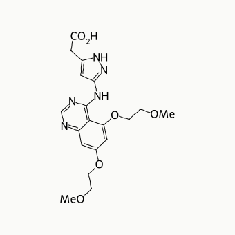 COCCOc1cc(OCCOC)c2c(Nc3cc(CC(=O)O)[nH]n3)ncnc2c1